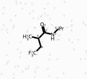 CC(C)NC(=O)C(C)CC(F)(F)F